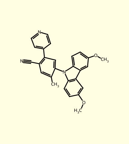 COc1ccc2c(c1)c1cc(OC)ccc1n2-c1cc(-c2ccncc2)c(C#N)cc1C